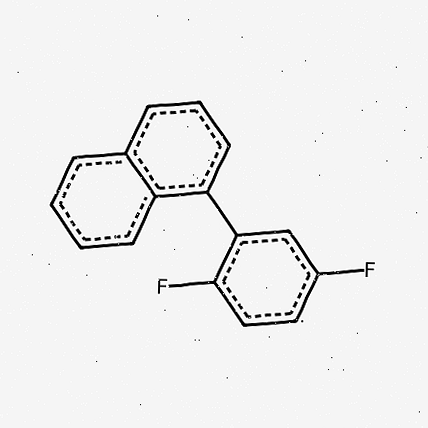 Fc1[c]cc(F)c(-c2cccc3ccccc23)c1